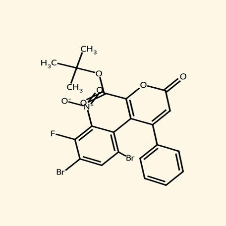 CC(C)(C)OC(=O)c1oc(=O)cc(-c2ccccc2)c1-c1c(Br)cc(Br)c(F)c1[N+](=O)[O-]